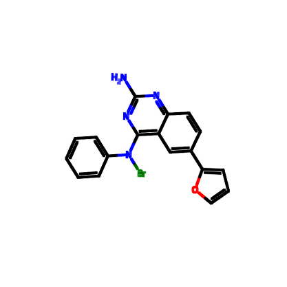 Nc1nc(N(Br)c2ccccc2)c2cc(-c3ccco3)ccc2n1